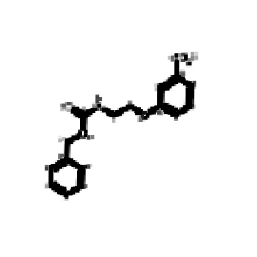 O=C(NCCOc1cccc(C(=O)O)c1)OCc1ccccc1